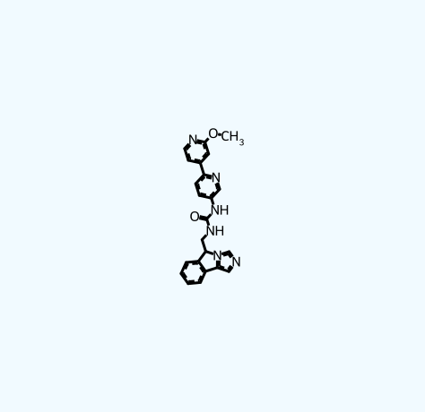 COc1cc(-c2ccc(NC(=O)NCC3c4ccccc4-c4cncn43)cn2)ccn1